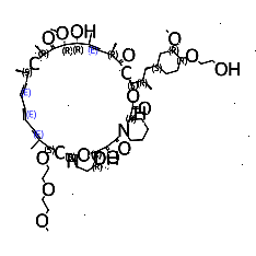 COCCOCCO[C@H]1C[C@@H]2CC[C@@H](C)[C@@](O)(O2)C(=O)C(=O)N2CCCC[C@H]2C(=O)O[C@H]([C@H](C)C[C@@H]2CC[C@@H](OCCO)[C@H](OC)C2)CC(=O)[C@H](C)/C=C(\C)[C@@H](O)[C@@H](OC)C(=O)[C@H](C)C[C@H](C)/C=C/C=C/C=C/1C